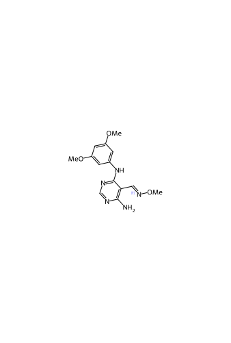 CO/N=C/c1c(N)ncnc1Nc1cc(OC)cc(OC)c1